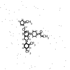 C=CC(=O)N1CCN(c2nc(OC[C@@H]3CCCN3C)nc3c2CN(c2ccc(C(F)(F)F)cc2C(F)(F)F)C3)CC1